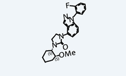 CO[C@H]1CCCC[C@@H]1N1CCN(c2cccc3c2cnn3-c2ccccc2F)C1=O